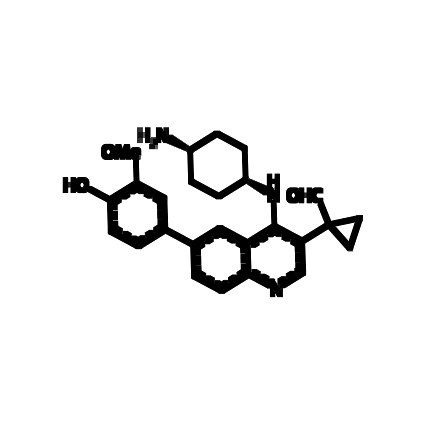 COc1cc(-c2ccc3ncc(C4(C=O)CC4)c(N[C@H]4CC[C@@H](N)CC4)c3c2)ccc1O